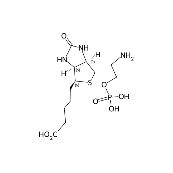 NCCOP(=O)(O)O.O=C(O)CCCC[C@@H]1SC[C@@H]2NC(=O)N[C@@H]21